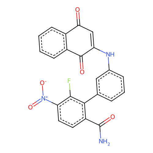 NC(=O)c1ccc([N+](=O)[O-])c(F)c1-c1cccc(NC2=CC(=O)c3ccccc3C2=O)c1